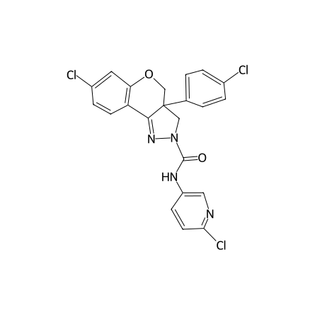 O=C(Nc1ccc(Cl)nc1)N1CC2(c3ccc(Cl)cc3)COc3cc(Cl)ccc3C2=N1